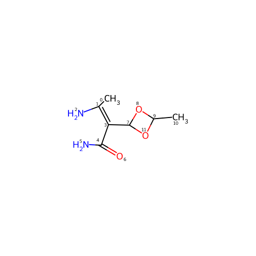 C/C(N)=C(/C(N)=O)C1OC(C)O1